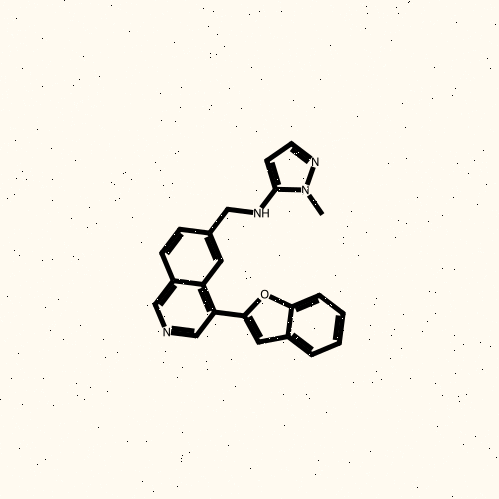 Cn1nccc1NCc1ccc2cncc(-c3cc4ccccc4o3)c2c1